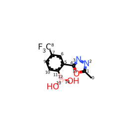 Cc1nnc(-c2cc(C(F)(F)F)ccc2B(O)O)o1